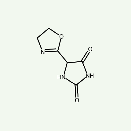 O=C1NC(=O)C(C2=NCCO2)N1